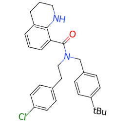 CC(C)(C)c1ccc(CN(CCc2ccc(Cl)cc2)C(=O)c2cccc3c2NCCC3)cc1